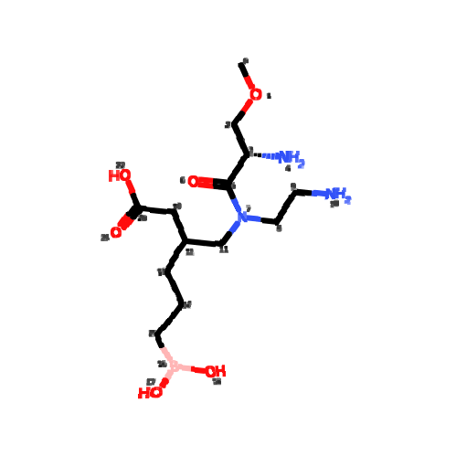 COC[C@H](N)C(=O)N(CCN)CC(CCCB(O)O)CC(=O)O